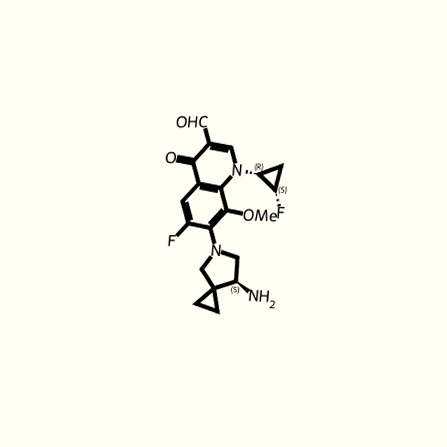 COc1c(N2C[C@@H](N)C3(CC3)C2)c(F)cc2c(=O)c(C=O)cn([C@@H]3C[C@@H]3F)c12